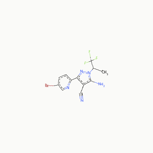 CC(n1nc(-c2ccc(Br)cn2)c(C#N)c1N)C(F)(F)F